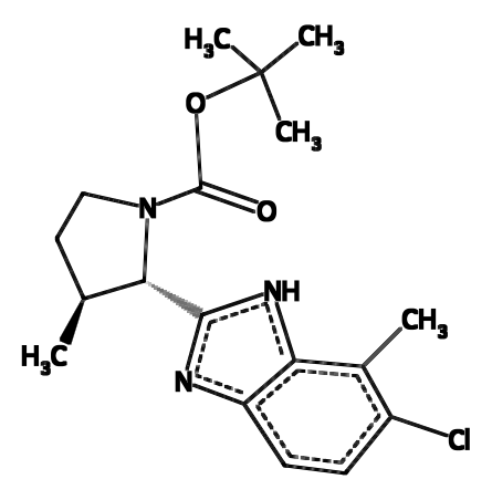 Cc1c(Cl)ccc2nc([C@@H]3[C@@H](C)CCN3C(=O)OC(C)(C)C)[nH]c12